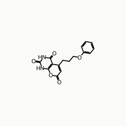 O=c1[nH]c(=O)c2c(CCCOc3ccccc3)cc(=O)oc2[nH]1